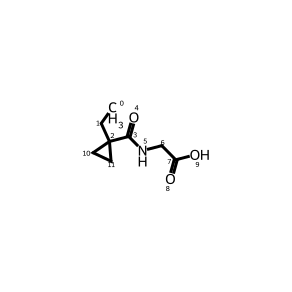 CCC1(C(=O)NCC(=O)O)CC1